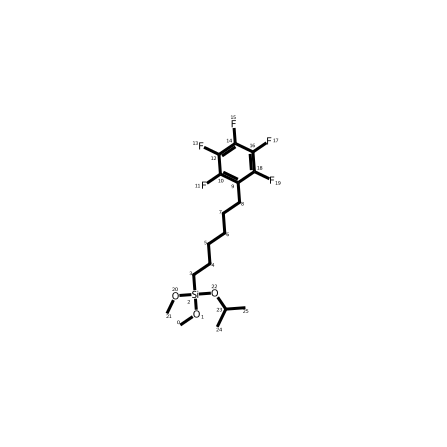 CO[Si](CCCCCCc1c(F)c(F)c(F)c(F)c1F)(OC)OC(C)C